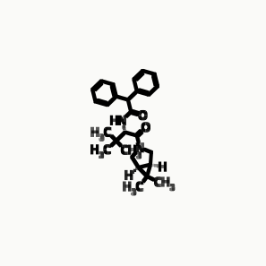 CC(C)(C)[C@H](NC(=O)C(c1ccccc1)c1ccccc1)C(=O)N1C[C@@H]2[C@H](C1)C2(C)C